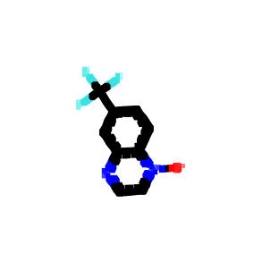 [O-][n+]1ccnc2cc(C(F)(F)F)ccc21